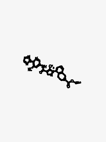 CC(C)(C)OC(=O)N1CCc2c(cccc2-n2ncc(C(=O)Nc3cnc(-n4nccn4)c(C#N)c3)c2C(F)(F)F)C1